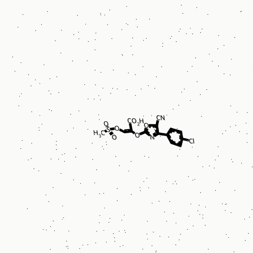 CS(=O)(=O)O/C=C(/Oc1nc(-c2ccc(Cl)cc2)c(C#N)o1)C(=O)O